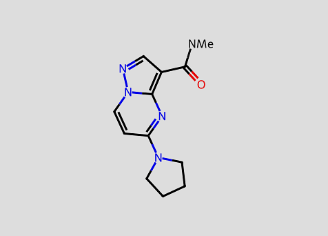 CNC(=O)c1cnn2ccc(N3CCCC3)nc12